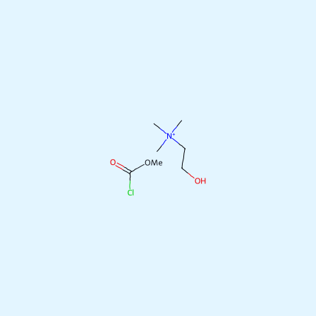 COC(=O)Cl.C[N+](C)(C)CCO